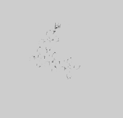 O=S(=O)([O-])[O-].O=S(=O)([O-])[O-].O=S(=O)([O-])[O-].O=S(=O)([O-])[O-].[Bi+3].[V+5]